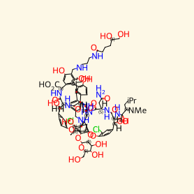 CN[C@H](CC(C)C)C(=O)N[C@H]1C(=O)N[C@@H](CC(N)=O)C(=O)N[C@H]2C(=O)N[C@@H]3C(=O)N[C@H](C(=O)N[C@H](C(=O)O)c4cc(O)c(CNCCCNC(=O)CCC[C@H](O)CO)c(O)c4-c4cc3ccc4O)[C@H](O)c3ccc(c(Cl)c3)Oc3cc2cc(c3OC2O[C@H](CO)C(O)C(O)[C@H]2O[C@H]2CC3(NCc4ccc(C#C[Si](C)(C)C)cc4)C2[C@@H](C)[C@H]3O)Oc2ccc(cc2Cl)[C@H]1O